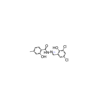 Cc1ccc(C(=O)N/N=C/c2cc(Cl)cc(Cl)c2O)c(O)c1